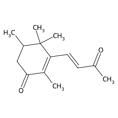 CC(=O)C=CC1=C(C)C(=O)CC(C)C1(C)C